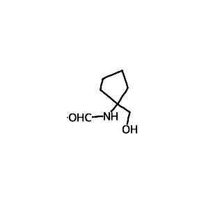 O=[C]NC1(CO)CCCC1